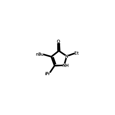 CCCCc1c(C(C)C)[nH]n(CC)c1=O